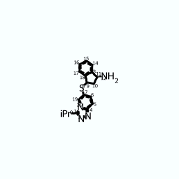 CC(C)c1nnc2ccc(SC3C[C@H](N)c4ccccc43)cn12